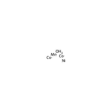 O.[Co].[Co].[Mn].[Ni]